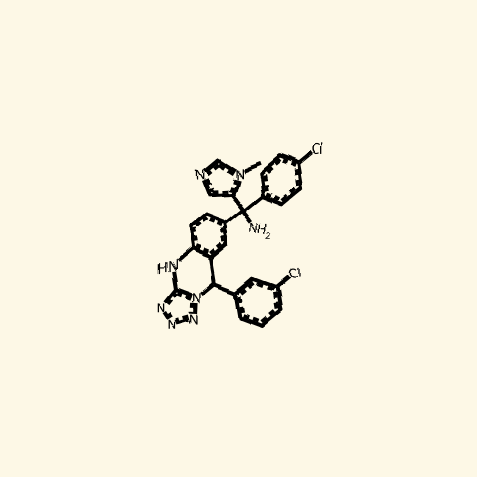 Cn1cncc1C(N)(c1ccc(Cl)cc1)c1ccc2c(c1)C(c1cccc(Cl)c1)n1nnnc1N2